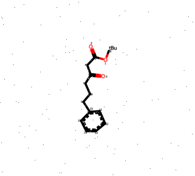 CC(C)(C)OC(=O)CC(=O)CCCc1ccccc1